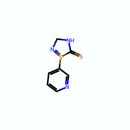 S=C1NCN=S1c1cccnc1